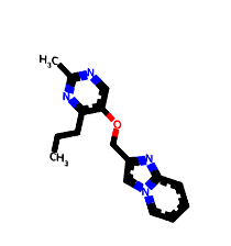 CCCc1nc(C)ncc1OCc1cn2ccccc2n1